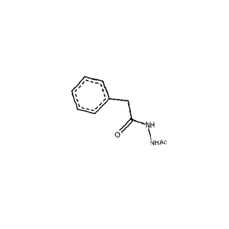 CC(=O)NNC(=O)Cc1ccccc1